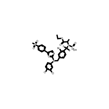 CCOC(=O)C(C)N([PH](=O)O)C(F)(F)c1ccc(CN(c2ccc(Cl)c(Cl)c2)c2ncc(-c3ccc(S(C)(=O)=O)cc3)o2)cc1Br